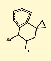 CC(C)(C)C1c2ccccc2C2(CC2)CC1O